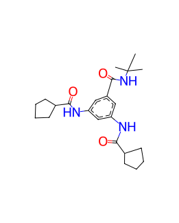 CC(C)(C)NC(=O)c1cc(NC(=O)C2CCCC2)cc(NC(=O)C2CCCC2)c1